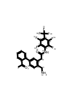 CC(=O)c1ccccc1-c1ccc(CN)c(CC(=O)Nc2c(F)c(F)c(C(F)(F)F)c(F)c2F)c1